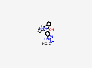 CN(C(=O)O)c1nc2cc(C3(O)c4ccccc4C(=O)N3CC3CCCN3)ccc2[nH]1